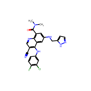 CN(C)C(=O)c1cc(NCc2ccn[nH]2)cc2c(Nc3ccc(F)c(Cl)c3)c(C#N)cnc12